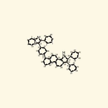 c1ccc(-c2nc3ccccn3c2-c2ccc(-c3cccc4c3ccc3c4ccc4c(-c5ccccc5)c(-c5ccccc5)[nH]c43)cc2)cc1